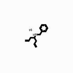 C=CCC(CC=C)NCc1ccccc1.I